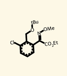 CCOC(=O)C(=NOC)c1cccc(Cl)c1COC(C)(C)C